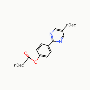 CCCCCCCCCCC(=O)Oc1ccc(-c2ncc(CCCCCCCCCC)cn2)cc1